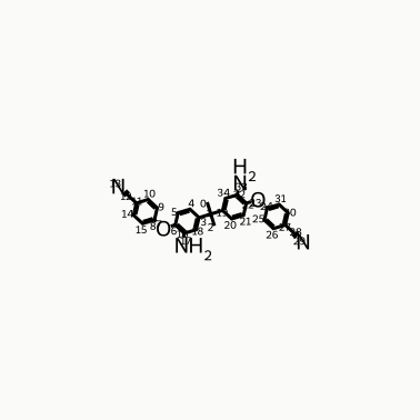 CC(C)(c1ccc(Oc2ccc(C#N)cc2)c(N)c1)c1ccc(Oc2ccc(C#N)cc2)c(N)c1